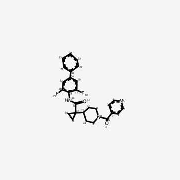 O=C(c1ccncc1)N1CCC(C2(C(=O)Nc3c(F)cc(-c4ccccc4)cc3F)CC2)CC1